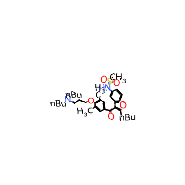 CCCCc1oc2ccc(NS(C)(=O)=O)cc2c1C(=O)c1cc(C)c(OCCCN(CCCC)CCCC)c(C)c1